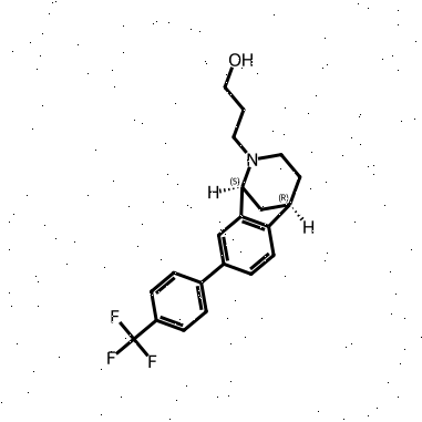 OCCCN1CC[C@@H]2C[C@H]1c1cc(-c3ccc(C(F)(F)F)cc3)ccc12